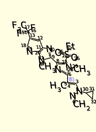 C=NN(/C=C(\C)c1nc(-c2nc3cc(C(F)(F)C(F)(F)F)cnc3n2C)c(S(=O)(=O)CC)n1C)C1CC1